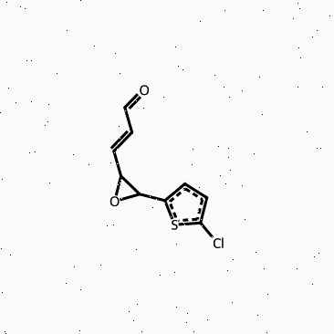 O=CC=CC1OC1c1ccc(Cl)s1